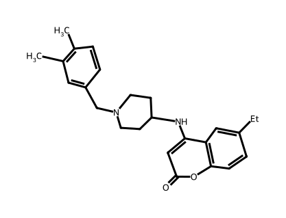 CCc1ccc2oc(=O)cc(NC3CCN(Cc4ccc(C)c(C)c4)CC3)c2c1